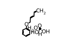 C=CC=CCOc1ccccc1.O.O=[PH](O)O